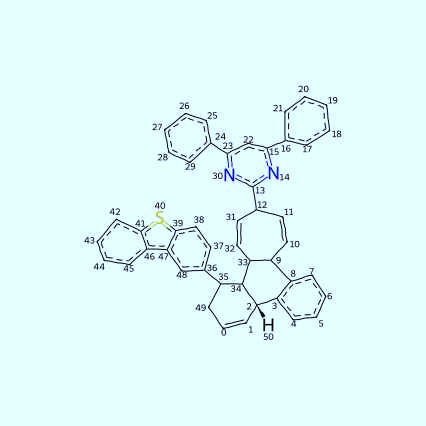 C1=C[C@H]2c3ccccc3C3C=CC(c4nc(-c5ccccc5)cc(-c5ccccc5)n4)C=CC3C2C(c2ccc3sc4ccccc4c3c2)C1